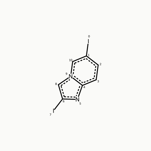 Ic1ccc2nc(I)cn2c1